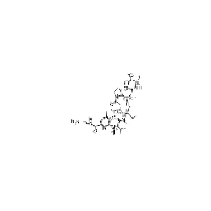 CC[C@H](NC(=O)[C@H](C)[C@@H](OC)[C@@H]1CCCN1C(=O)C[C@@H](OC)[C@H]([C@@H](C)CC)N(C)C(=O)[C@@H](Nc1nc(C)cc(C(=O)NCCN)n1)C(C)C)C(=O)OC